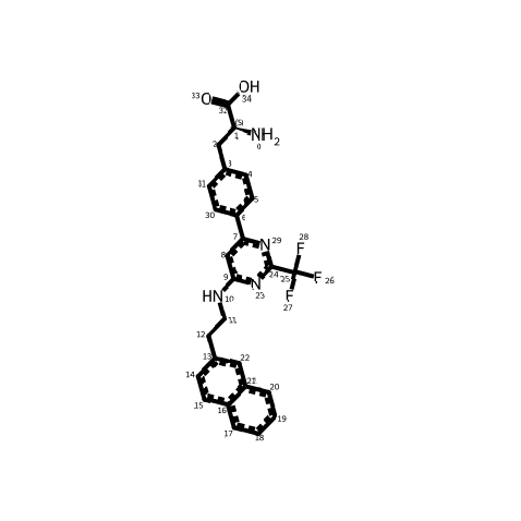 N[C@@H](Cc1ccc(-c2cc(NCCc3ccc4ccccc4c3)nc(C(F)(F)F)n2)cc1)C(=O)O